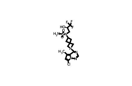 Cc1cc(Cl)n2ncnc(N3CC4(CC(N(C[C@@H](O)C(F)(F)F)S(N)(=O)=O)C4)C3)c12